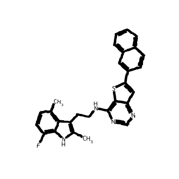 Cc1[nH]c2c(F)ccc(C)c2c1CCNc1ncnc2cc(-c3ccc4ccccc4c3)sc12